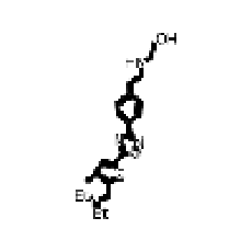 CCN(CC)Cc1sc(-c2nc(-c3ccc(CCNCCO)cc3)no2)cc1C